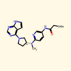 COCC(=O)Nc1ccc(N(C)[C@@H]2CCN(c3ncnc4[nH]ccc34)C2)nc1